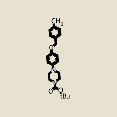 Cc1ccc(COc2ccc(N3CCN(C(=O)OC(C)(C)C)CC3)cc2)cc1